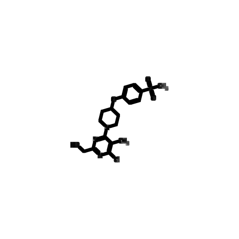 Cc1c(Cl)nc(CO)nc1N1CCC(Oc2ccc(S(C)(=O)=O)cc2)CC1